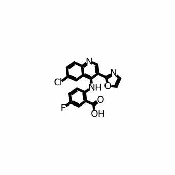 O=C(O)c1cc(F)ccc1Nc1c(-c2ncco2)cnc2ccc(Cl)cc12